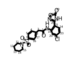 O=C(Cc1ccc(S(=O)(=O)N2CCCCC2)cc1)Nc1cc(Cl)ccc1-c1noc(=O)[nH]1